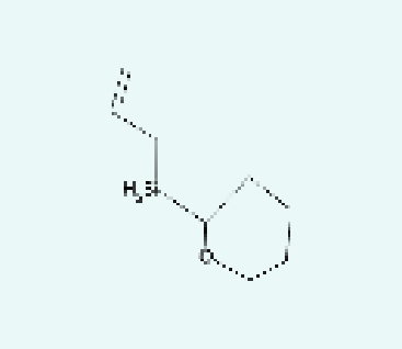 C=CC[SiH2]C1CCCCO1